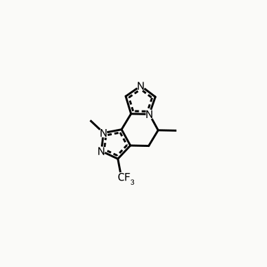 CC1Cc2c(C(F)(F)F)nn(C)c2-c2cncn21